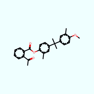 COc1ccc(C(C)(C)c2ccc(OC(=O)c3ccccc3C(C)=O)c(C)c2)cc1C